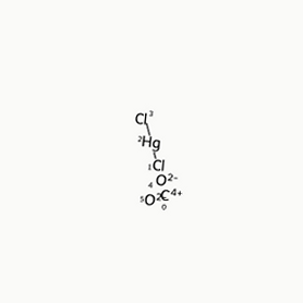 [C+4].[Cl][Hg][Cl].[O-2].[O-2]